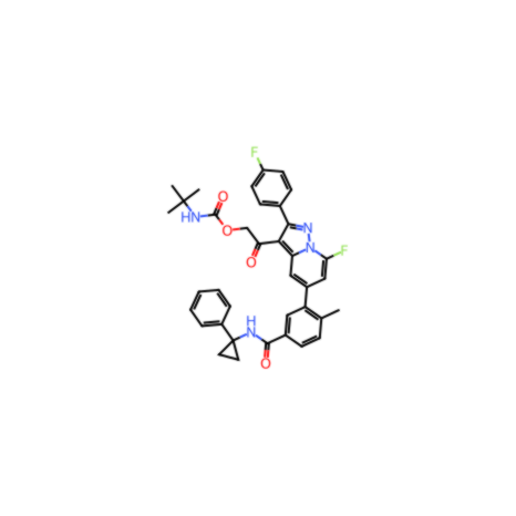 Cc1ccc(C(=O)NC2(c3ccccc3)CC2)cc1-c1cc(F)n2nc(-c3ccc(F)cc3)c(C(=O)COC(=O)NC(C)(C)C)c2c1